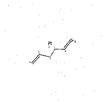 C=CCCC=C.[Pt]